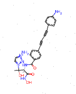 CC(O)([C@H](NC(=O)c1ccc(C#CC#Cc2ccc(N)cc2)cc1)C(=O)NO)n1cc[n+](N)n1